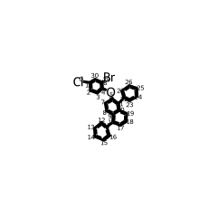 Clc1ccc(Oc2ccc3c(-c4ccccc4)cccc3c2-c2ccccc2)c(Br)c1